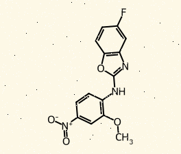 COc1cc([N+](=O)[O-])ccc1Nc1nc2cc(F)ccc2o1